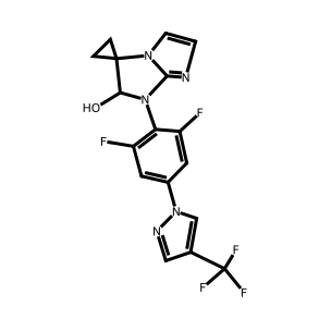 OC1N(c2c(F)cc(-n3cc(C(F)(F)F)cn3)cc2F)c2nccn2C12CC2